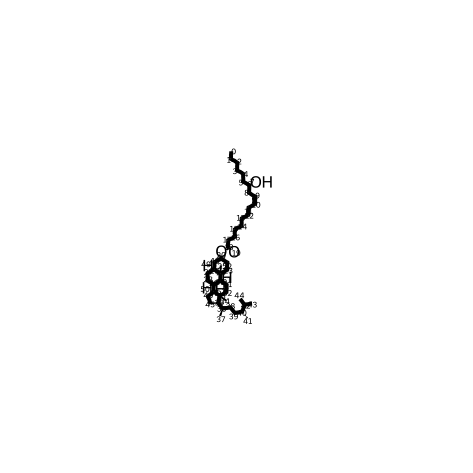 CCCCCC[C@@H](O)C/C=C\CCCCCCCC(=O)O[C@H]1CC[C@@]2(C)[C@@H](CC[C@@H]3[C@@H]2CC[C@]2(C)[C@@H]([C@H](C)CC[C@@H](C)C(C)C)CC[C@@H]32)C1